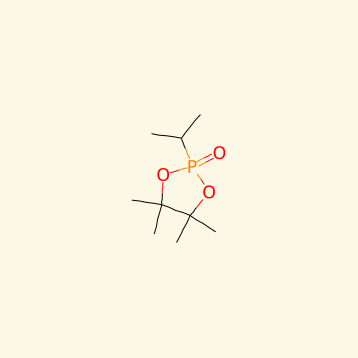 CC(C)P1(=O)OC(C)(C)C(C)(C)O1